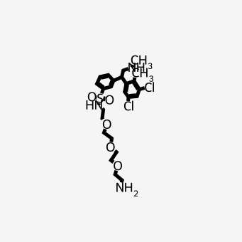 CNCC(c1cccc(S(=O)(=O)NCCOCCOCCOCCN)c1)c1cc(Cl)cc(Cl)c1C